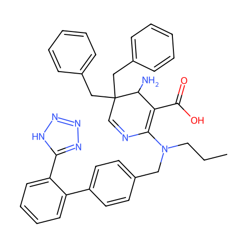 CCCN(Cc1ccc(-c2ccccc2-c2nnn[nH]2)cc1)C1=C(C(=O)O)C(N)C(Cc2ccccc2)(Cc2ccccc2)C=N1